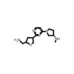 CN[C@@H]1CCN(c2ccnc(C3COC(CN)C3)n2)C1